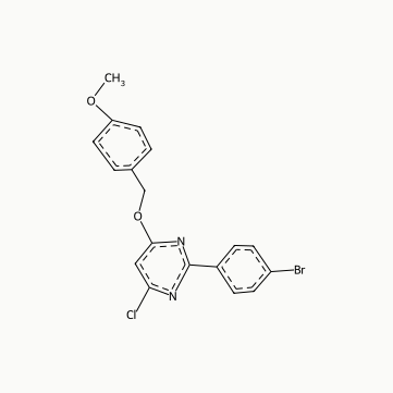 COc1ccc(COc2cc(Cl)nc(-c3ccc(Br)cc3)n2)cc1